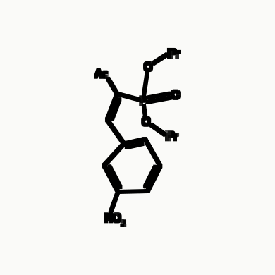 CC(=O)C(=Cc1cccc([N+](=O)[O-])c1)P(=O)(OC(C)C)OC(C)C